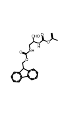 C=C(C)OC(=O)N[C@H](C=O)CNC(=O)OCC1c2ccccc2-c2ccccc21